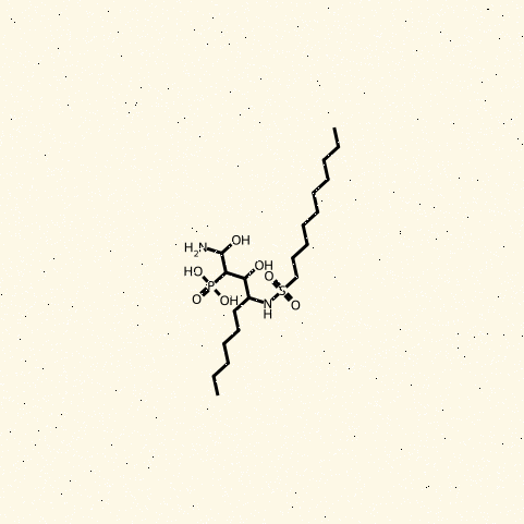 CCCCCCCCCCS(=O)(=O)NC(CCCCCC)C(O)C(C(N)O)P(=O)(O)O